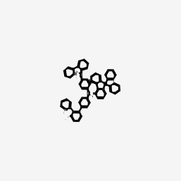 c1ccc(C2(c3ccccc3)c3ccccc3-c3c(N(c4ccc(-c5cccc6sc7ccccc7c56)cc4)c4ccc(-n5c6ccccc6c6ccccc65)cc4)cccc32)cc1